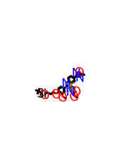 COC(=O)/N=C(SC)/C(=N\c1ccc(-c2noc(C)n2)cc1)c1ccc(OCCCO[Si](C)(C)C(C)(C)C)c(OC)c1